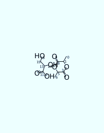 CC1OC(=O)C(C)OC1=O.O=C(O)C(O)CO